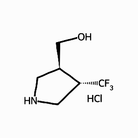 Cl.OC[C@@H]1CNC[C@H]1C(F)(F)F